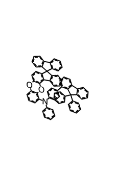 c1ccc(N(c2ccc(-c3cccc4c3C(c3ccccc3)(c3ccccc3)c3ccccc3-4)cc2)c2cccc3c2Oc2c(ccc4c2-c2ccccc2C42c4ccccc4-c4ccccc42)O3)cc1